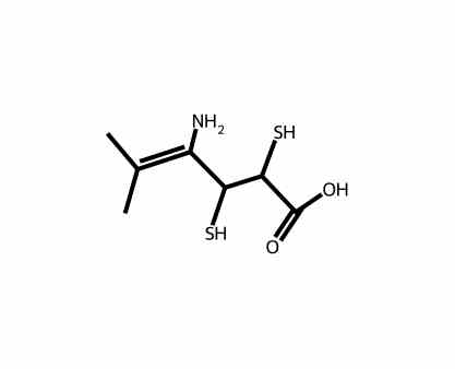 CC(C)=C(N)C(S)C(S)C(=O)O